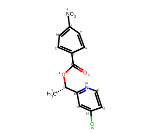 C[C@H](OC(=O)c1ccc([N+](=O)[O-])cc1)c1cc(Cl)ccn1